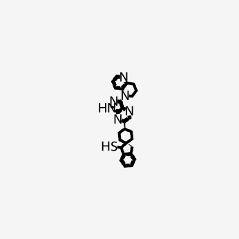 SC1c2ccccc2C[C@]12CC[C@H](c1cnc3c(N4CCCc5ncccc54)n[nH]c3n1)CC2